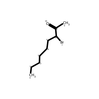 CCCCCCC(Br)C(C)=O